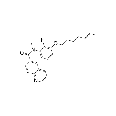 CC=CCCCCOc1cccc(N(C)C(=O)c2ccc3ncccc3c2)c1F